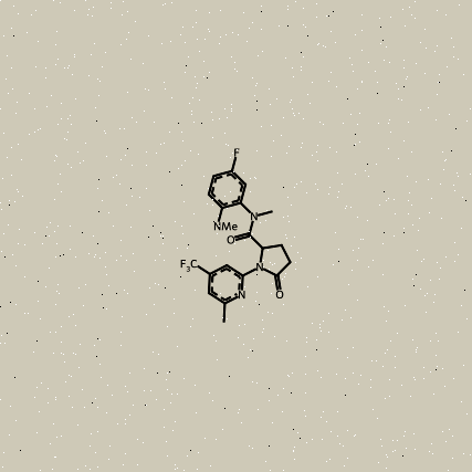 CNc1ccc(F)cc1N(C)C(=O)C1CCC(=O)N1c1cc(C(F)(F)F)cc(C)n1